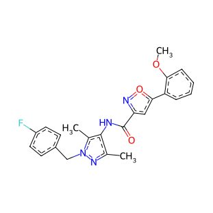 COc1ccccc1-c1cc(C(=O)Nc2c(C)nn(Cc3ccc(F)cc3)c2C)no1